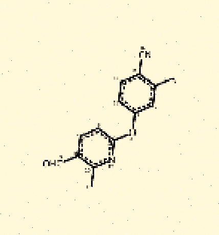 Cc1cc(Oc2ccc(C=O)c(C)n2)ccc1C#N